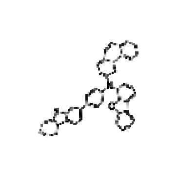 c1ccc2c(c1)ccc1ccc(N(c3ccc(-c4ccc5c(c4)sc4ccccc45)cc3)c3cccc4c3oc3ccccc34)cc12